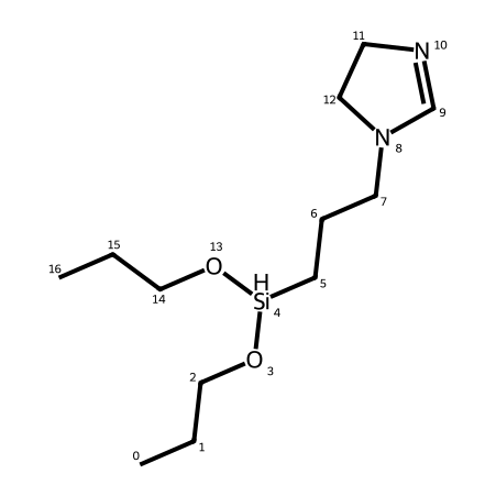 CCCO[SiH](CCCN1C=NCC1)OCCC